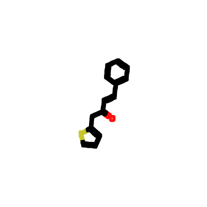 O=C(/C=C/c1ccccc1)Cc1cccs1